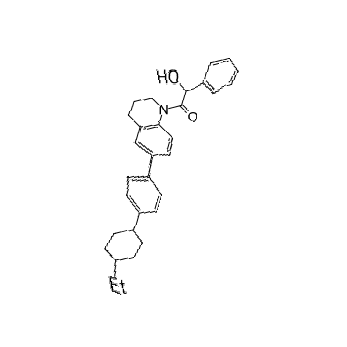 CCC1CCC(c2ccc(-c3ccc4c(c3)CCCN4C(=O)C(O)c3ccccc3)cc2)CC1